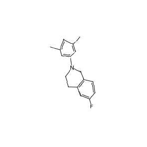 Cc1cc(C)cc(N2CCc3cc(F)ccc3C2)c1